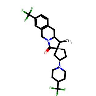 CC1C2Cc3ccc(C(F)(F)F)cc3CN2C(=O)[C@]12CC[C@@H](N1CCC(C(F)(F)F)CC1)C2